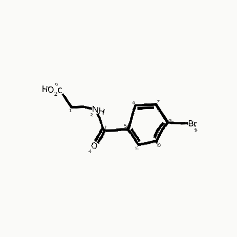 O=C(O)CNC(=O)c1ccc(Br)cc1